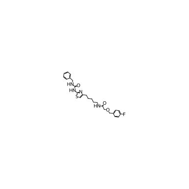 O=C(COCc1ccc(F)cc1)NCCCCCc1csc(NC(=O)NCc2ccccc2)n1